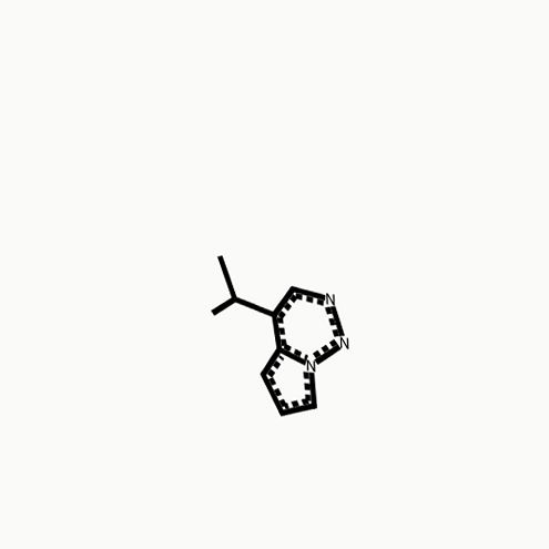 CC(C)c1cnnn2cccc12